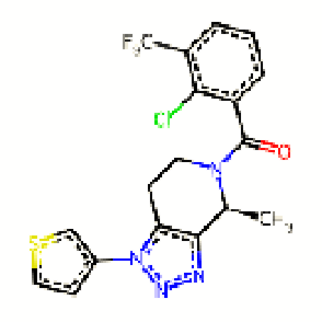 C[C@H]1c2nnn(-c3ccsc3)c2CCN1C(=O)c1cccc(C(F)(F)F)c1Cl